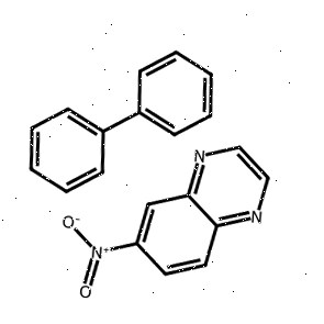 O=[N+]([O-])c1ccc2nccnc2c1.c1ccc(-c2ccccc2)cc1